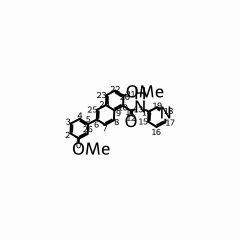 COc1cccc(-c2ccc3c(C(=O)Nc4cccnc4)c(OC)ccc3c2)c1